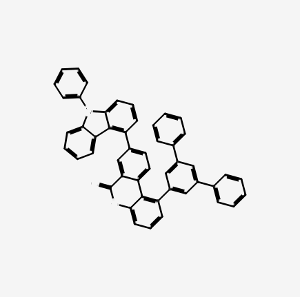 O=c1oc2cccc(-c3cc(-c4ccccc4)cc(-c4ccccc4)c3)c2c2ccc(-c3cccc4c3c3ccccc3n4-c3ccccc3)cc12